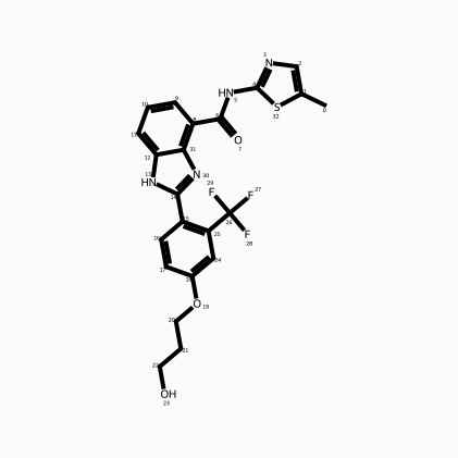 Cc1cnc(NC(=O)c2cccc3[nH]c(-c4ccc(OCCCO)cc4C(F)(F)F)nc23)s1